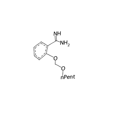 CCCCCOCOc1ccccc1C(=N)N